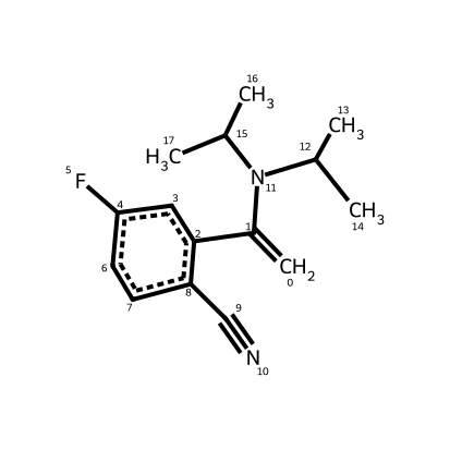 C=C(c1cc(F)ccc1C#N)N(C(C)C)C(C)C